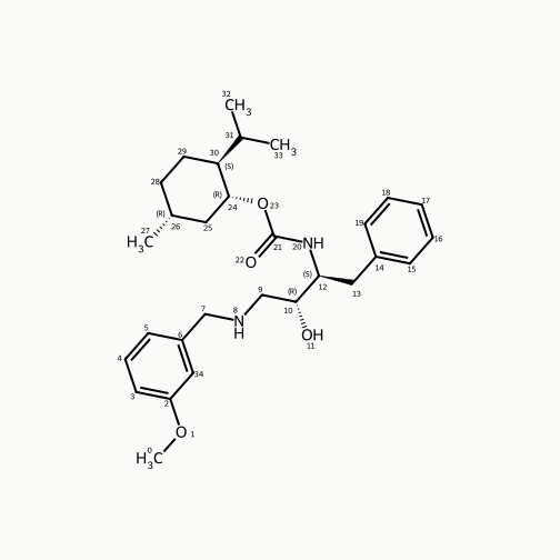 COc1cccc(CNC[C@@H](O)[C@H](Cc2ccccc2)NC(=O)O[C@@H]2C[C@H](C)CC[C@H]2C(C)C)c1